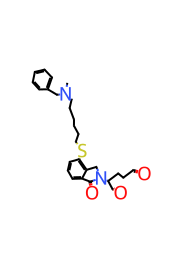 CN(CCCCCCSc1cccc2c1CN(C(C=O)CCC=O)C2=O)Cc1ccccc1